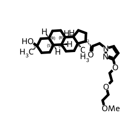 COCCOCCOc1ccn(CC(=O)[C@H]2CC[C@H]3[C@@H]4CC[C@@H]5C[C@](C)(O)CC[C@@H]5[C@H]4CC[C@]23C)n1